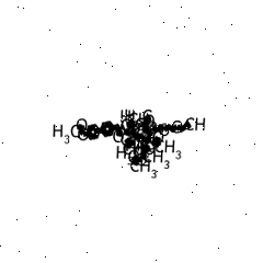 C#CCOCCOCCO[C@]1(C(=O)OC)C[C@H](OC(C)=O)[C@@H](NC(=O)C(C)(C)OC(C)=O)[C@H]([C@H](OC(C)=O)[C@@H](CNC(=O)Cc2ccc(-c3ccc(OC(C)=O)cc3)cc2)OC(C)=O)O1